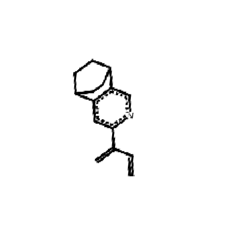 C=CC(=C)c1cc2c(cn1)C1CCC2CC1